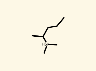 CCCC(C)[SiH](C)C